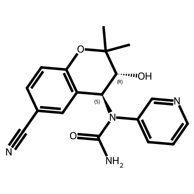 CC1(C)Oc2ccc(C#N)cc2[C@H](N(C(N)=O)c2cccnc2)[C@H]1O